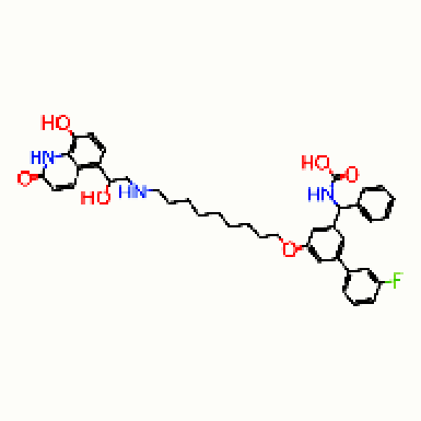 O=C(O)NC(c1ccccc1)c1cc(OCCCCCCCCCNCC(O)c2ccc(O)c3[nH]c(=O)ccc23)cc(-c2cccc(F)c2)c1